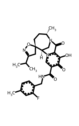 Cc1ccc(CNC(=O)c2cn3c(c(O)c2=O)C(=O)N2C[C@@H]3[C@]3(CC[C@@H]2C)CC(C(C)C)=NO3)c(F)c1